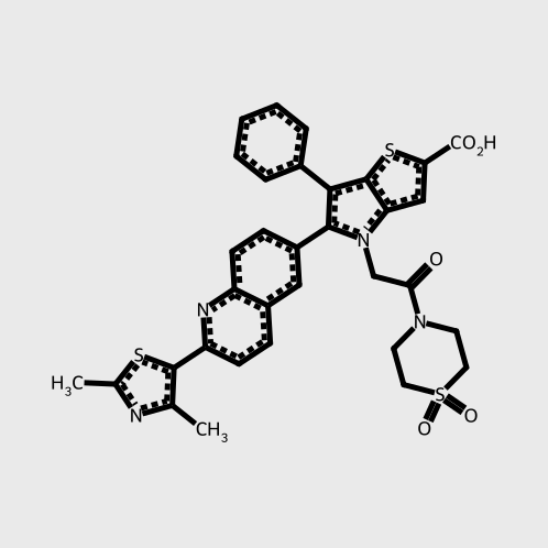 Cc1nc(C)c(-c2ccc3cc(-c4c(-c5ccccc5)c5sc(C(=O)O)cc5n4CC(=O)N4CCS(=O)(=O)CC4)ccc3n2)s1